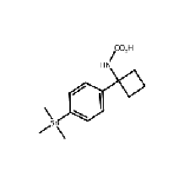 [CH3][Sn]([CH3])([CH3])[c]1ccc(C2(NC(=O)O)CCC2)cc1